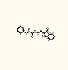 O=C(NCc1ccccc1)OCCn1[se]c2ccccc2c1=O